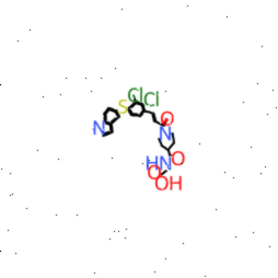 Cn1ccc2cc(Sc3ccc(C=CC(=O)N4CCC(C(=O)NCC(=O)O)CC4)c(Cl)c3Cl)ccc21